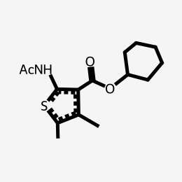 CC(=O)Nc1sc(C)c(C)c1C(=O)OC1CCCCC1